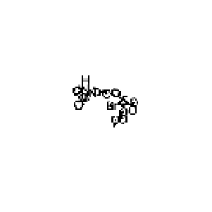 CCOC(=O)COc1c(C(=O)OC)sc(-c2cccc(OCC3CCN(C(=O)Nc4ccccc4Oc4ccccc4)CC3)c2)c1Br